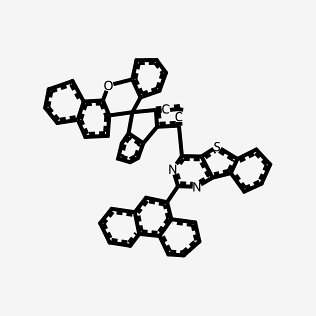 c1ccc2c(c1)Oc1c(ccc3ccccc13)C21c2ccccc2-c2c(-c3nc(-c4cc5ccccc5c5ccccc45)nc4c3sc3ccccc34)cccc21